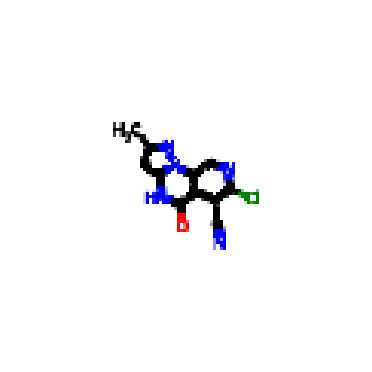 Cc1cc2[nH]c(=O)c3c(C#N)c(Cl)ncc3n2n1